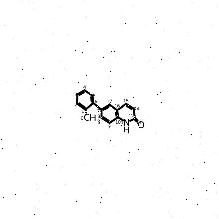 Cc1ccccc1-c1ccc2[nH]c(=O)ccc2c1